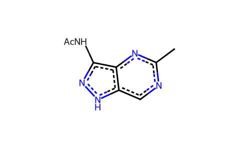 CC(=O)Nc1n[nH]c2cnc(C)nc12